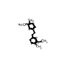 CC(=O)Oc1ccc(CCc2ccc(C)c(C)c2)cc1OC(C)=O